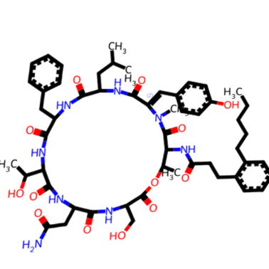 CCCCCc1ccccc1CCC(=O)NC1C(=O)N(C)/C(=C\c2ccc(O)cc2)C(=O)NC(CC(C)C)C(=O)NC(Cc2ccccc2)C(=O)NC(C(C)O)C(=O)NC(CC(N)=O)C(=O)NC(CO)C(=O)OC1C